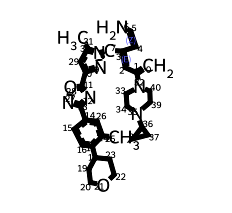 C=C(/C=C(\C=C/N)Cn1nc(-c2nc(-c3ccc(C4CCOCC4)c(C)c3)no2)cc1C)N1CCN(C2CC2)CC1